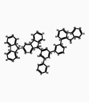 c1ccc(-c2cc(-c3cccc(-c4cccc5c4sc4ccccc45)c3)cc(-n3c4ccccc4c4cc(-n5c6ccccc6c6cccnc65)ccc43)n2)cc1